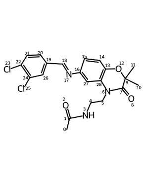 CC(=O)NCCN1C(=O)C(C)(C)Oc2ccc(N=Cc3ccc(Cl)c(Cl)c3)cc21